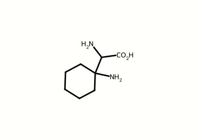 NC(C(=O)O)C1(N)CCCCC1